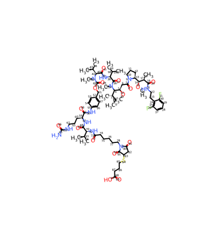 CC[C@H](C)C([C@@H](CC(=O)N1CCC[C@H]1[C@H](OC)[C@@H](C)C(=O)NCCc1c(F)cccc1F)OC)N(C)C(=O)[C@@H](NC(=O)[C@H](C(C)C)N(C)C(=O)OCc1ccc(NC(=O)[C@H](CCCNC(N)=O)NC(=O)[C@@H](NC(=O)CCCCCN2C(=O)CC(SCCCC(=O)O)C2=O)C(C)C)cc1)C(C)C